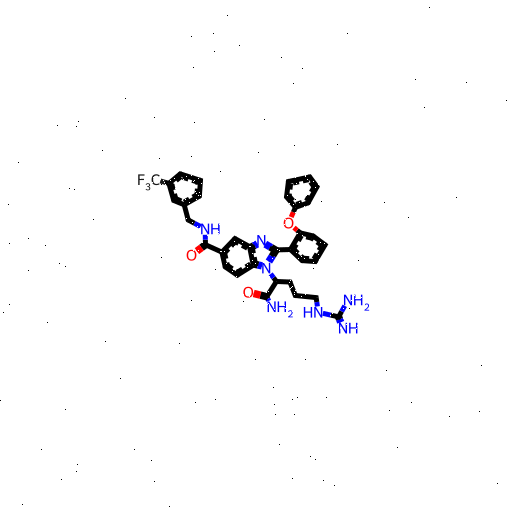 N=C(N)NCCCC(C(N)=O)n1c(-c2ccccc2Oc2ccccc2)nc2cc(C(=O)NCc3cccc(C(F)(F)F)c3)ccc21